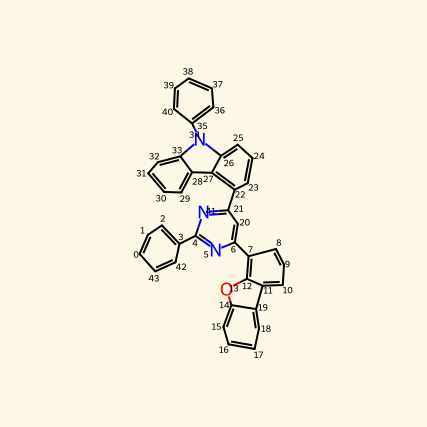 c1ccc(-c2nc(-c3cccc4c3oc3ccccc34)cc(-c3cccc4c3c3ccccc3n4-c3ccccc3)n2)cc1